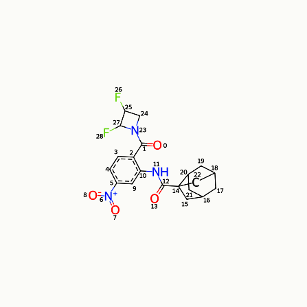 O=C(c1ccc([N+](=O)[O-])cc1NC(=O)C12CC3CC(CC1C3)C2)N1CC(F)C1F